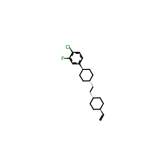 C=C[C@H]1CC[C@H](CC[C@H]2CC[C@H](c3ccc(Cl)c(F)c3)CC2)CC1